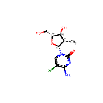 C[C@H]1[C@H](O)[C@@H](CO)O[C@H]1n1cc(Br)c(N)nc1=O